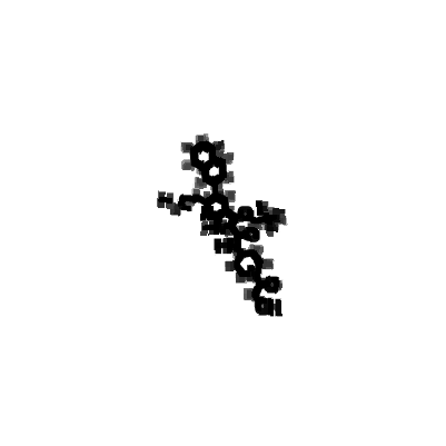 CCc1nc2[nH]c(C(=O)NC3CCN(C(=O)CO)CC3)c(OCC(F)(F)F)c2cc1-c1ccc2ccccc2c1